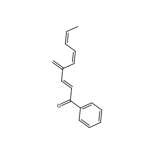 C=C(/C=C\C=C/C)/C=C/C(=O)c1ccccc1